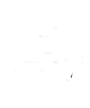 CCOC(=O)c1cnc(Cl)cc1N[C@@H]1COC[C@H]1O